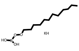 CCCCCCCCCCCCOOB(O)O.[KH]